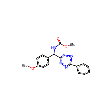 CC(C)(C)OC(=O)NC(c1ccc(OC(C)(C)C)cc1)c1nnc(-c2ccccc2)nn1